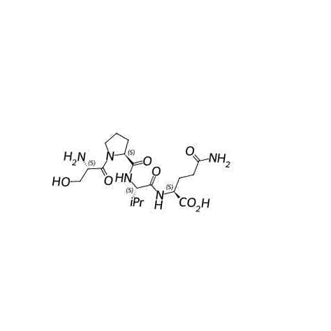 CC(C)[C@H](NC(=O)[C@@H]1CCCN1C(=O)[C@@H](N)CO)C(=O)N[C@@H](CCC(N)=O)C(=O)O